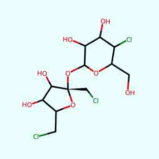 OCC1OC(O[C@]2(CCl)OC(CCl)C(O)C2O)C(O)C(O)C1Cl